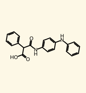 O=C(O)C(C(=O)Nc1ccc(Nc2ccccc2)cc1)c1ccccc1